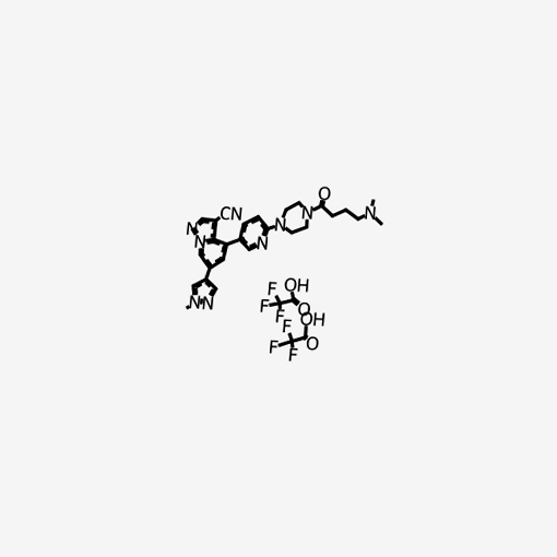 CN(C)CCCC(=O)N1CCN(c2ccc(-c3cc(-c4cnn(C)c4)cn4ncc(C#N)c34)cn2)CC1.O=C(O)C(F)(F)F.O=C(O)C(F)(F)F